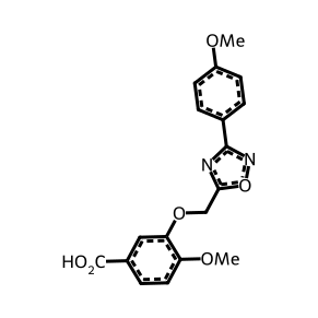 COc1ccc(-c2noc(COc3cc(C(=O)O)ccc3OC)n2)cc1